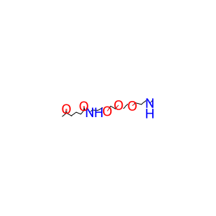 CNCCCOCCOCCOCCCNC(=O)CCCC(C)=O